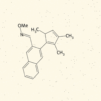 CON=Cc1cc2ccccc2cc1C1=C(C)C(C)=CC1C